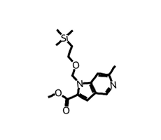 COC(=O)c1cc2cnc(C)cc2n1COCC[Si](C)(C)C